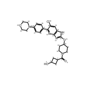 O=C(C1CC(O)C1)N1CCC(Oc2nc3nc(-c4ccc(N5CCOCC5)cc4)c(Cl)cc3[nH]2)CC1